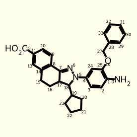 Nc1ccc(N2N=C3c4ccc(C(=O)O)cc4CCC3C2C2CCCC2)cc1OCc1ccccc1